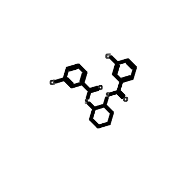 O=C(SC1CCCCC1SC(=O)c1cccc(Cl)c1)c1cccc(Cl)c1